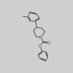 Cc1cccc(C2CCN(C(=O)Oc3ccccc3)CC2)c1